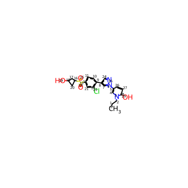 CCCN1C=C(n2cc(-c3ccc(S(=O)(=O)C4CC(O)C4)cc3Cl)cn2)C=CC1O